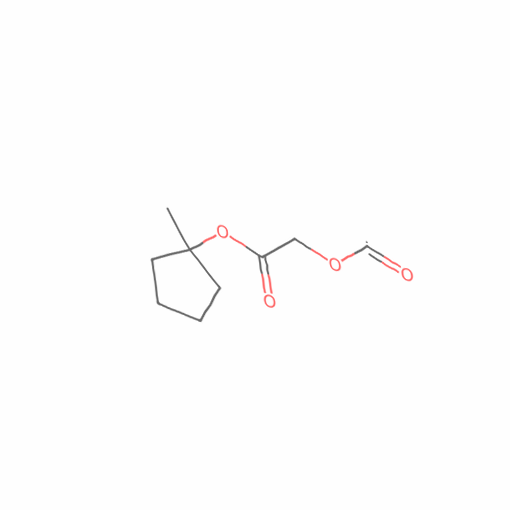 CC1(OC(=O)CO[C]=O)CCCC1